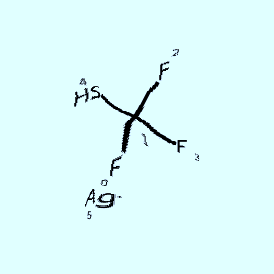 FC(F)(F)S.[Ag]